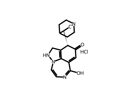 Cl.O=C1C=C2C(O)=NC=CN3NCC(=C23)[C@@H]1C1CN2CCC1CC2